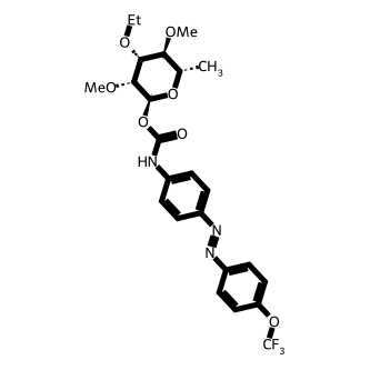 CCO[C@@H]1[C@@H](OC)[C@H](C)O[C@@H](OC(=O)Nc2ccc(/N=N/c3ccc(OC(F)(F)F)cc3)cc2)[C@@H]1OC